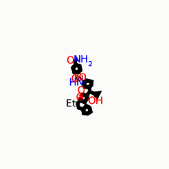 CCC(Cc1ccccc1)c1cc(O)c(C(c2cccc(NS(=O)(=O)c3ccc(C(N)=O)cc3)c2)C2CC2)c(=O)o1